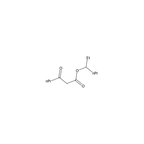 CCCC(=O)CC(=O)OC(CC)CCC